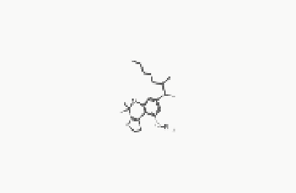 CCCCCC(C)C(C)c1cc(OP)c2c(c1)OC(C)(C)C1=C2CCS1